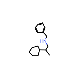 CC(CNCc1ccccc1)C1CCCCC1